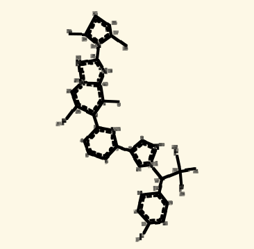 Cc1c(-c2cccc(-c3cnn(C(c4ccc(F)cc4)C(C)(F)F)c3)n2)c(F)cn2nc(-n3c(C)ccc3C)nc12